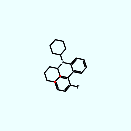 Fc1ccccc1-c1ccccc1P(C1CCCCC1)C1CCCCC1